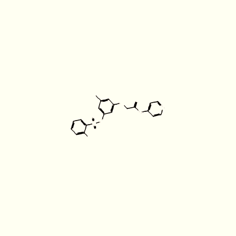 Cc1cc(OCC(=O)Nc2ccncc2)cc(OS(=O)(=O)c2ccccc2Cl)c1